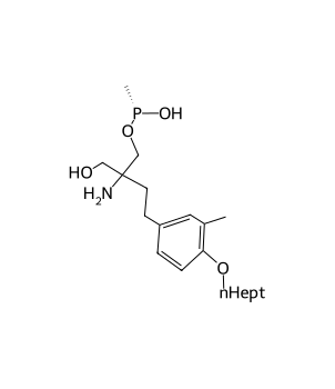 CCCCCCCOc1ccc(CCC(N)(CO)CO[P@](C)O)cc1C